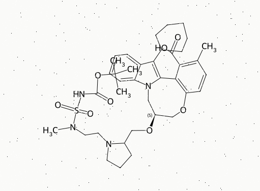 Cc1ccc2c(c1C(=O)O)-c1c(C3CCCCC3)c3ccccc3n1C[C@H](OCC1CCCN1CCN(C)S(=O)(=O)NC(=O)OC(C)(C)C)CO2